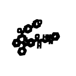 O=C(NCCc1nc2ccccc2[nH]1)c1ccc2c(C3CCCCC3)c3n(c2c1)CC(C(=O)N1CCC(N2CCOCC2)CC1)=Cc1ccccc1-3